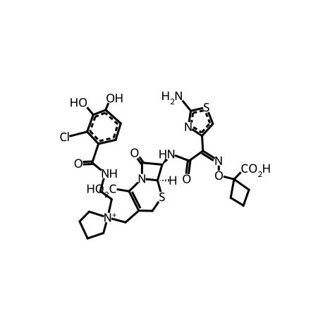 Nc1nc(/C(=N/OC2(C(=O)O)CCC2)C(=O)N[C@@H]2C(=O)N3C(C(=O)O)=C(C[N+]4(CCNC(=O)c5ccc(O)c(O)c5Cl)CCCC4)CS[C@H]23)cs1